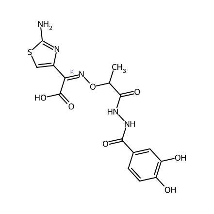 CC(O/N=C(\C(=O)O)c1csc(N)n1)C(=O)NNC(=O)c1ccc(O)c(O)c1